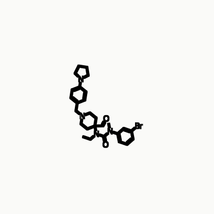 CCN(C(=O)N(C)c1cccc(Br)c1)C1(C=O)CCN(Cc2ccc(N3CCCC3)cc2)CC1